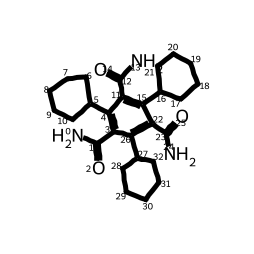 NC(=O)c1c(C2CCCCC2)c(C(N)=O)c(C2CCCCC2)c(C(N)=O)c1C1CCCCC1